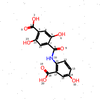 O=C(O)c1cc(O)c(C(=O)Nc2ccc(O)cc2C(=O)O)cc1O